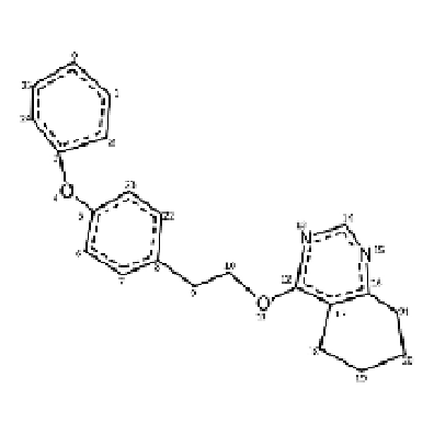 c1ccc(Oc2ccc(CCOc3ncnc4c3CCCC4)cc2)cc1